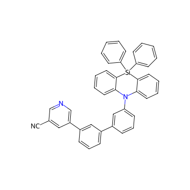 N#Cc1cncc(-c2cccc(-c3cccc(N4c5ccccc5[Si](c5ccccc5)(c5ccccc5)c5ccccc54)c3)c2)c1